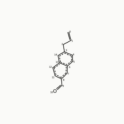 C=CCc1ccc2cc(C=O)ccc2c1